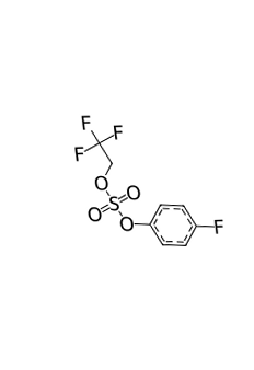 O=S(=O)(OCC(F)(F)F)Oc1ccc(F)cc1